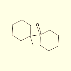 CC1(P2(=O)CCCCC2)CCCCC1